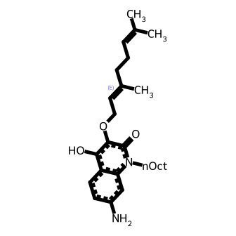 CCCCCCCCn1c(=O)c(OC/C=C(\C)CCC=C(C)C)c(O)c2ccc(N)cc21